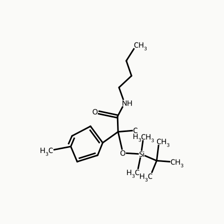 CCCCNC(=O)C(C)(O[Si](C)(C)C(C)(C)C)c1ccc(C)cc1